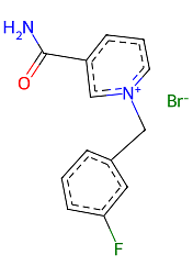 NC(=O)c1ccc[n+](Cc2cccc(F)c2)c1.[Br-]